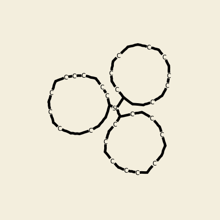 C1CCCCCCCCC([Si](C2CCCCCCCCCCCCCCCCC2)C2CCCCCCCCCCCCCCCCC2)CCCCCCCC1